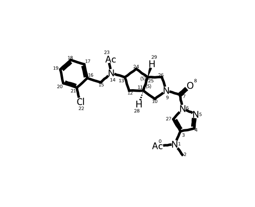 CC(=O)N(C)c1cnn(C(=O)N2C[C@H]3CC(N(Cc4ccccc4Cl)C(C)=O)C[C@@H]3C2)c1